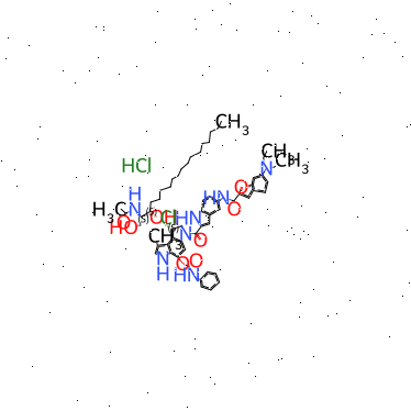 CCCCCCCCCCCCCCC[C@H](O)[C@H](CO)NC(C)=O.CCN(CC)c1ccc2cc(C(=O)Nc3ccc4[nH]c(C(=O)N5C[C@@H](CCl)c6c5cc(OC(=O)Nc5ccccc5)c5[nH]cc(C)c65)cc4c3)oc2c1.Cl